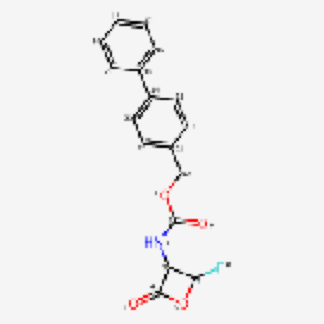 O=C(NC1C(=O)OC1F)OCc1ccc(-c2ccccc2)cc1